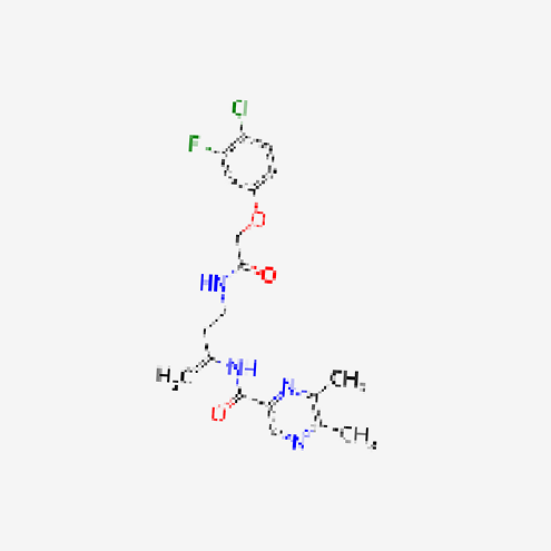 C=C(CCNC(=O)COc1ccc(Cl)c(F)c1)NC(=O)c1cnc(C)c(C)n1